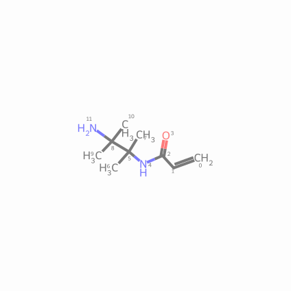 C=CC(=O)NC(C)(C)C(C)(C)N